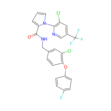 O=C(NCc1ccc(Oc2ccc(F)cc2)c(Cl)c1)c1cccn1-c1ncc(C(F)(F)F)cc1Cl